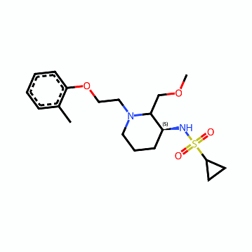 COCC1[C@@H](NS(=O)(=O)C2CC2)CCCN1CCOc1ccccc1C